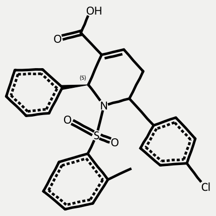 Cc1ccccc1S(=O)(=O)N1C(c2ccc(Cl)cc2)CC=C(C(=O)O)[C@@H]1c1ccccc1